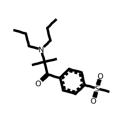 CCCN(CCC)C(C)(C)C(=O)c1ccc(S(C)(=O)=O)cc1